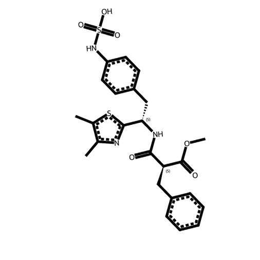 COC(=O)[C@@H](Cc1ccccc1)C(=O)N[C@@H](Cc1ccc(NS(=O)(=O)O)cc1)c1nc(C)c(C)s1